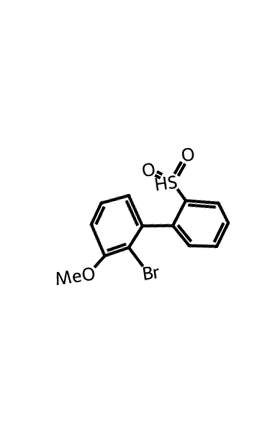 COc1cccc(-c2ccccc2[SH](=O)=O)c1Br